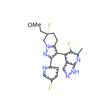 COC[C@@]1(F)CCc2c(-c3c(F)c(C)nc4[nH]ncc34)c(-c3ccc(F)cn3)nn2C1